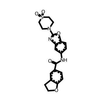 O=C(Nc1ccc2oc(N3CCS(=O)(=O)CC3)nc2c1)c1ccc2c(c1)CCO2